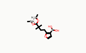 C[SiH2]OC(O[SiH2]C)C(C)(C)CCc1occc1B(O)O